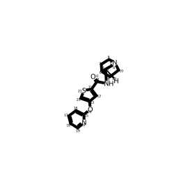 O=C(N[C@H]1CN2CCC1CC2)c1cc(Oc2ccccn2)cs1